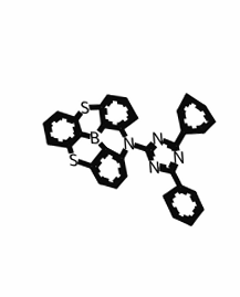 c1ccc(-c2nc(-c3ccccc3)nc(N3c4cccc5c4B4c6c(cccc6Sc6cccc3c64)S5)n2)cc1